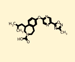 Cc1noc(-c2cnc(Oc3ccc4c(c3)CCN(C(=O)O)CC4CC(C)C)cn2)n1